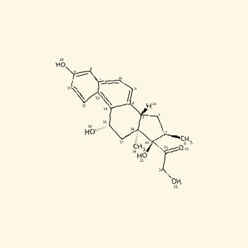 C[C@@H]1C[C@H]2c3ccc4cc(O)ccc4c3[C@@H](O)C[C@]2(C)[C@@]1(O)C(=O)CO